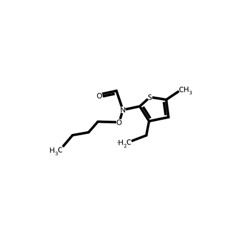 [CH2]Cc1cc(C)sc1N(C=O)OCCCC